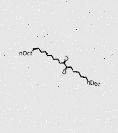 CCCCCCCC/C=C\CCCCCCCC(=O)C(=O)CCCCCCCCCCCCCCC